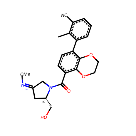 CO/N=C1/C[C@@H](CO)N(C(=O)c2ccc(-c3cccc(C#N)c3C)c3c2OCCO3)C1